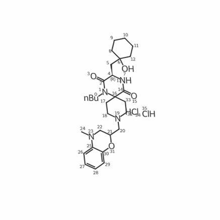 CCCCN1C(=O)[C@@H](CC2(O)CCCCC2)NC(=O)C12CCN(CC1CN(C)c3ccccc3O1)CC2.Cl.Cl